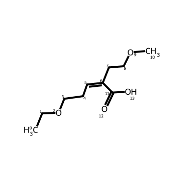 CCOCCC=C(CCOC)C(=O)O